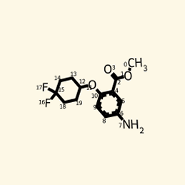 COC(=O)c1cc(N)ccc1OC1CCC(F)(F)CC1